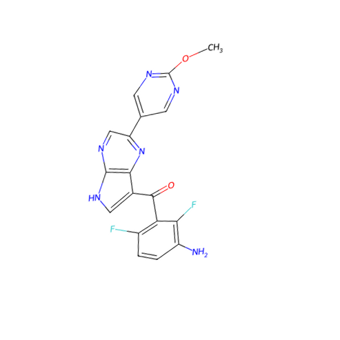 COc1ncc(-c2cnc3[nH]cc(C(=O)c4c(F)ccc(N)c4F)c3n2)cn1